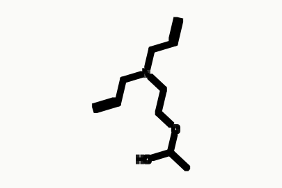 C=CCN(CC=C)CCOC(C)O